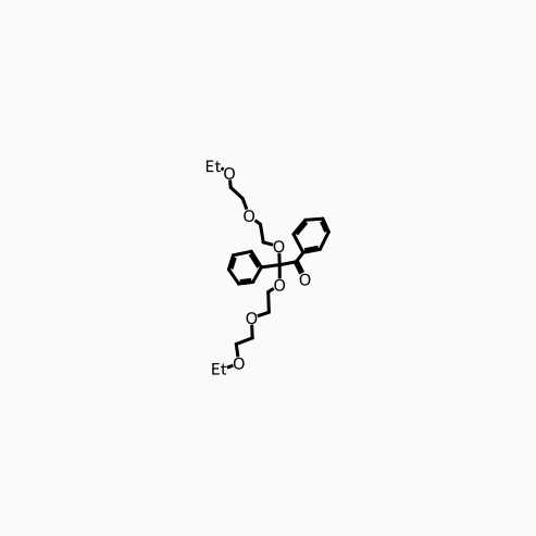 CCOCCOCCOC(OCCOCCOCC)(C(=O)c1ccccc1)c1ccccc1